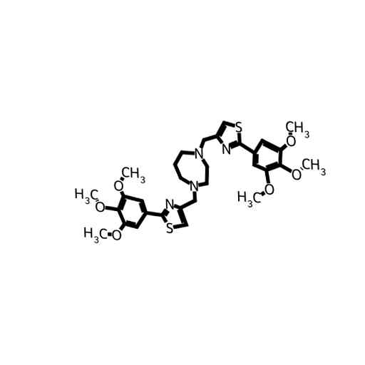 COc1cc(-c2nc(CN3CCCN(Cc4csc(-c5cc(OC)c(OC)c(OC)c5)n4)CC3)cs2)cc(OC)c1OC